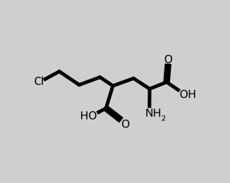 NC(CC(CCCCl)C(=O)O)C(=O)O